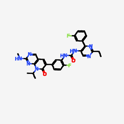 CCc1ncc(NC(=O)Nc2cc(-c3cc4cnc(NC)nc4n(C(C)C)c3=O)ccc2F)c(-c2cccc(F)c2)n1